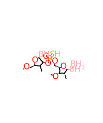 BB[C@@H]1O[C@H](COP(=O)(S)O[C@H]2C(C)[C@@H](COC)O[C@H]2B)C(OC)[C@@H]1C